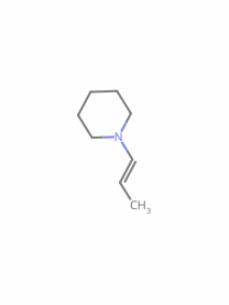 CC=CN1CCCCC1